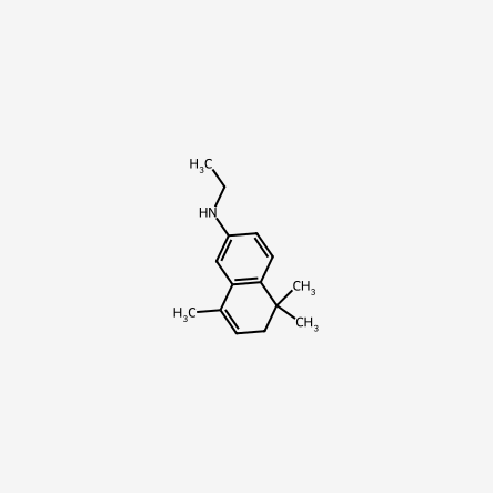 CCNc1ccc2c(c1)C(C)=CCC2(C)C